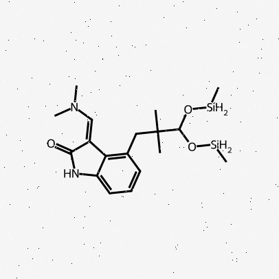 C[SiH2]OC(O[SiH2]C)C(C)(C)Cc1cccc2c1C(=CN(C)C)C(=O)N2